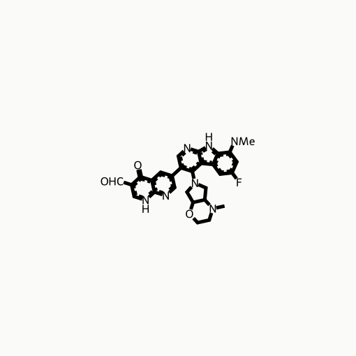 CNc1cc(F)cc2c1[nH]c1ncc(-c3cnc4[nH]cc(C=O)c(=O)c4c3)c(N3CC4OCCN(C)C4C3)c12